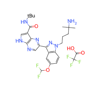 CC(C)(N)CCCn1nc(-c2cnc3[nH]cc(C(=O)NC(C)(C)C)c3n2)c2cc(OC(F)F)ccc21.O=C(O)C(F)(F)F